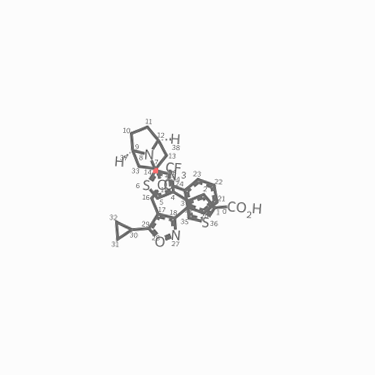 O=C(O)c1cc(-c2csc(N3[C@@H]4CC[C@H]3C[C@@H](OCc3c(-c5ccccc5OC(F)(F)F)noc3C3CC3)C4)n2)cs1